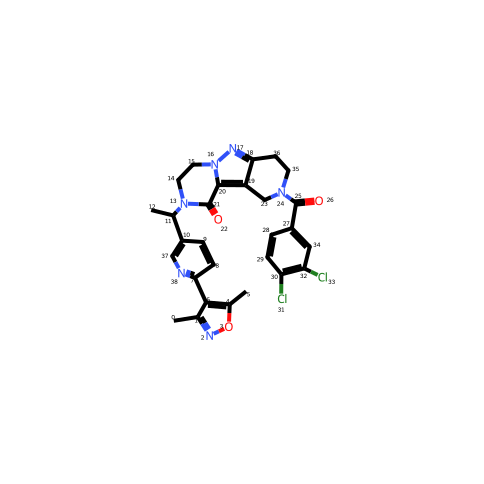 Cc1noc(C)c1-c1ccc(C(C)N2CCn3nc4c(c3C2=O)CN(C(=O)c2ccc(Cl)c(Cl)c2)CC4)cn1